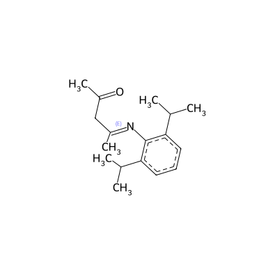 CC(=O)C/C(C)=N/c1c(C(C)C)cccc1C(C)C